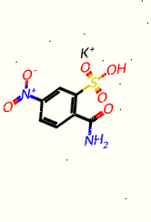 NC(=O)c1ccc([N+](=O)[O-])cc1S(=O)(=O)O.[K+]